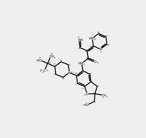 CC1(CO)Cc2cc(NC(=O)/C(C=N)=C3\N=CC=CN3)c(N3CCC(C(C)(O)C(F)(F)F)CC3)cc2O1